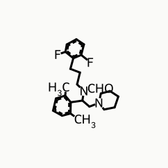 Cc1cccc(C)c1C(CN1CCCCC1)N(C=O)CCCc1c(F)cccc1F